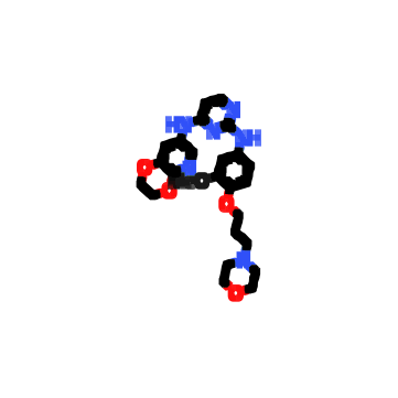 COc1cc(Nc2nccc(Nc3cnc4c(c3)OCCO4)n2)ccc1OCCCN1CCOCC1